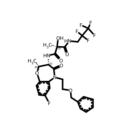 C[C@H]1Oc2ccc(F)cc2N(CCOCc2ccccc2)C(=O)[C@H]1NC(=O)[C@@](C)(O)C(=O)NCC(F)(F)C(F)(F)F